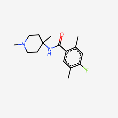 Cc1cc(C(=O)NC2(C)CCN(C)CC2)c(C)cc1F